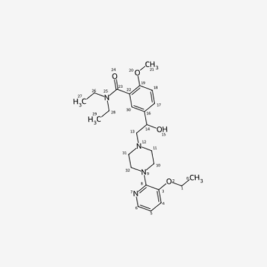 CCOc1cccnc1N1CCN(CC(O)c2ccc(OC)c(C(=O)N(CC)CC)c2)CC1